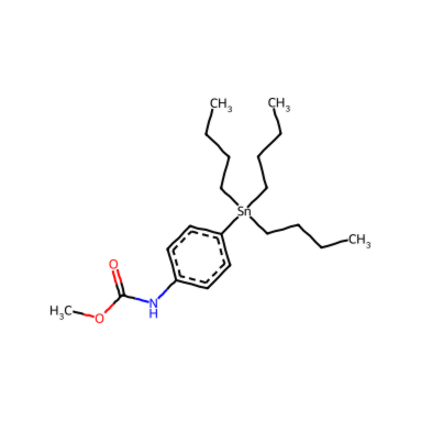 CCC[CH2][Sn]([CH2]CCC)([CH2]CCC)[c]1ccc(NC(=O)OC)cc1